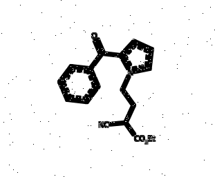 CCOC(=O)C(C#N)CCn1cccc1C(=O)c1ccccc1